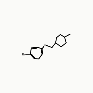 CC1CCC(COC2=CCC=C(Br)C=C2)CC1